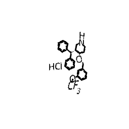 Cl.FC(F)(F)Oc1cccc(CO[C@H]2CCNC[C@H]2C(c2ccccc2)c2ccccc2)c1